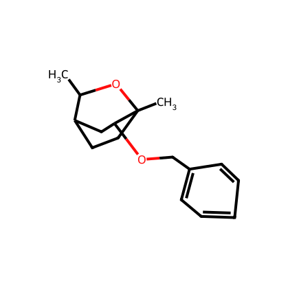 CC1OC2(C)CCC1CC2OCc1ccccc1